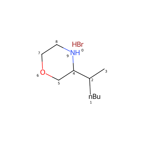 Br.CCCCC(C)C1COCCN1